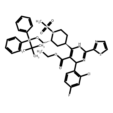 CCOC(=O)C1=C([C@@H]2CCN(S(C)(=O)=O)[C@@H](CO[Si](c3ccccc3)(c3ccccc3)C(C)(C)C)C2)NC(c2nccs2)=NC1c1ccc(F)cc1Cl